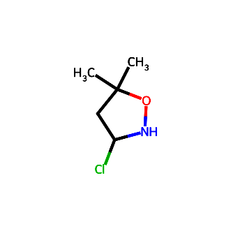 CC1(C)CC(Cl)NO1